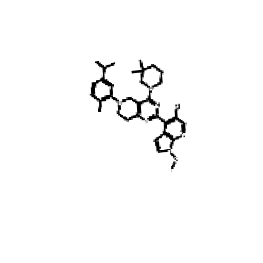 Cc1ccc(C(C)C)cc1N1CCc2nc(-c3c(Cl)cnc4c3ccn4SI)nc(N3CCCC(C)(C)C3)c2C1